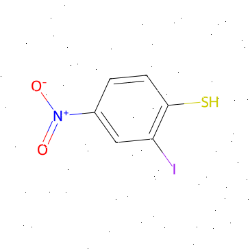 O=[N+]([O-])c1ccc(S)c(I)c1